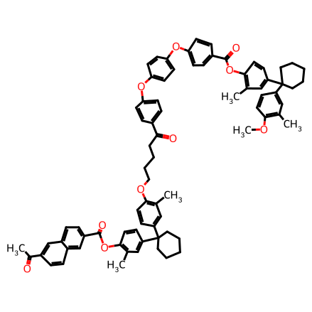 COc1ccc(C2(c3ccc(OC(=O)c4ccc(Oc5ccc(Oc6ccc(C(=O)CCCCOc7ccc(C8(c9ccc(OC(=O)c%10ccc%11cc(C(C)=O)ccc%11c%10)c(C)c9)CCCCC8)cc7C)cc6)cc5)cc4)c(C)c3)CCCCC2)cc1C